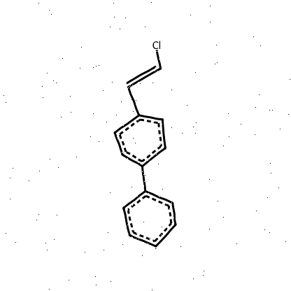 ClC=Cc1ccc(-c2cc[c]cc2)cc1